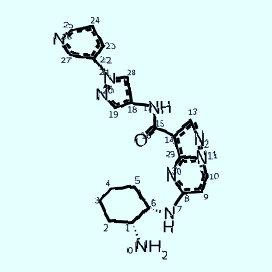 N[C@@H]1CCCC[C@@H]1Nc1ccn2ncc(C(=O)Nc3cnn(-c4cccnc4)c3)c2n1